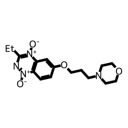 CCc1n[n+]([O-])c2ccc(OCCCN3CCOCC3)cc2[n+]1[O-]